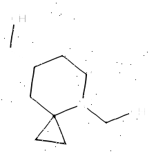 CC[C@@H]1CCN(CC)C2(CC2)C1